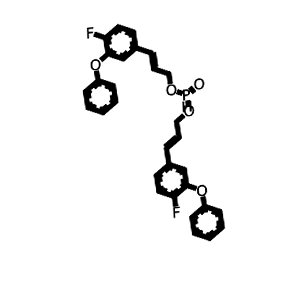 O=[PH](OCC=Cc1ccc(F)c(Oc2ccccc2)c1)OCC=Cc1ccc(F)c(Oc2ccccc2)c1